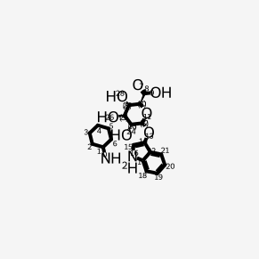 NC1CCCCC1.O=C(O)[C@H]1O[C@@H](Oc2c[nH]c3ccccc23)[C@H](O)[C@@H](O)[C@@H]1O